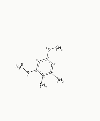 CSc1cc(N)c(C)c(SC)c1